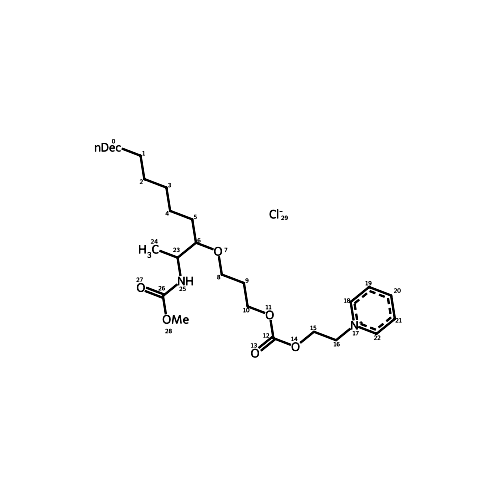 CCCCCCCCCCCCCCCC(OCCCOC(=O)OCC[n+]1ccccc1)C(C)NC(=O)OC.[Cl-]